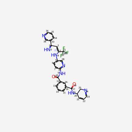 N=C(/C=C(\Nc1ccc(NC(=O)c2cccc(C(=O)NC3C=CC=NC3)c2)nc1)C(F)(F)F)c1cccnc1